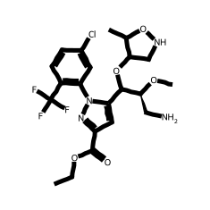 CCOC(=O)c1cc(C(OC2CNOC2C)[C@H](CN)OC)n(-c2cc(Cl)ccc2C(F)(F)F)n1